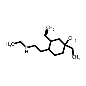 C=CC1CC(C)(CC)CCC1CCPCC